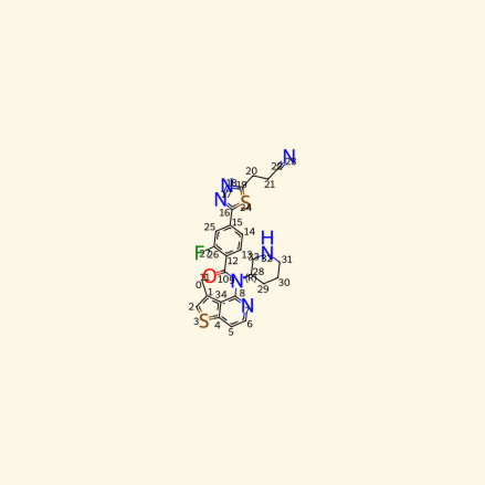 Cc1csc2ccnc(N(C(=O)c3ccc(-c4nnc(CCC#N)s4)cc3F)[C@@H]3CCCNC3)c12